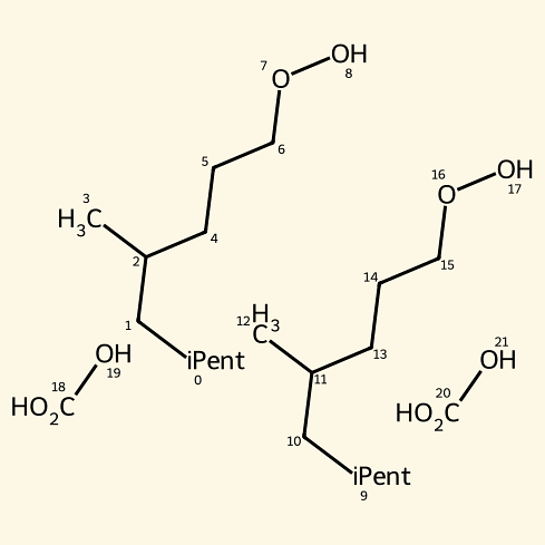 CCCC(C)CC(C)CCCOO.CCCC(C)CC(C)CCCOO.O=C(O)O.O=C(O)O